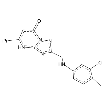 Cc1ccc(NCc2nc3[nH]c(C(C)C)cc(=O)n3n2)cc1Cl